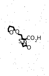 O=C(O)C1=C(CCOC2CCCCO2)SC2CC(=O)N12